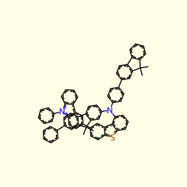 CC1(C)c2ccccc2-c2ccc(-c3ccc(N(c4ccc5c(c4)C(C)(C)c4cc(-c6ccccc6)ccc4-5)c4cccc5sc6ccc(-c7ccc8c(c7)c7ccccc7n8-c7ccccc7)cc6c45)cc3)cc21